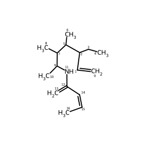 C=CC(CC)C(C)C(C)C(C)NC(=C)/C=C\C